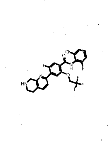 O=C(Nc1c(F)cccc1Cl)c1cc(F)c(-c2ccc3c(n2)CNCC3)cc1OCC(F)(F)F